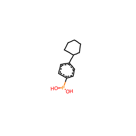 OP(O)c1ccc(C2CCCCC2)cc1